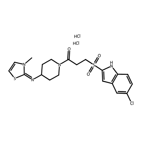 Cl.Cl.Cn1ccsc1=NC1CCN(C(=O)CCS(=O)(=O)c2cc3cc(Cl)ccc3[nH]2)CC1